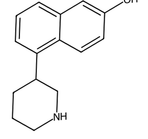 Oc1ccc2c(C3CCCNC3)cccc2c1